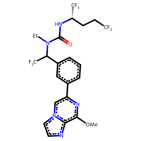 CCN(C(=O)N[C@@H](CCC(F)(F)F)C(F)(F)F)C(c1cccc(-c2cn3ccnc3c(OC)n2)c1)C(F)(F)F